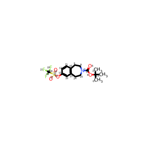 CC(C)(C)OC(=O)N1CCc2ccc(OS(=O)(=O)C(F)(F)F)cc2CC1